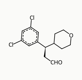 O=CC[C@@H](c1cc(Cl)cc(Cl)c1)C1CCOCC1